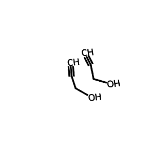 C#CCO.C#CCO